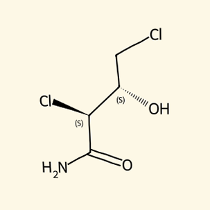 NC(=O)[C@@H](Cl)[C@@H](O)CCl